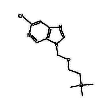 C[Si](C)(C)CCOCn1cnc2cc(Cl)ncc21